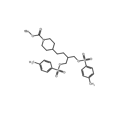 Cc1ccc(S(=O)(=O)OCC(CCC2CCN(C(=O)OC(C)(C)C)CC2)COS(=O)(=O)c2ccc(C)cc2)cc1